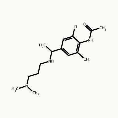 CC(=O)Nc1c(C)cc(C(C)NCCCN(C)C)cc1Cl